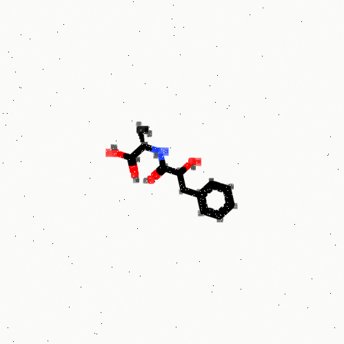 C[C@H](NC(=O)C(O)Cc1ccccc1)C(=O)O